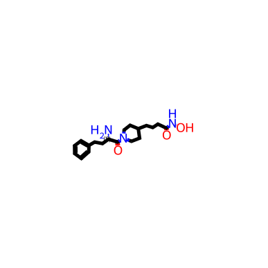 N[C@@H](CCc1ccccc1)C(=O)N1CCC(CCCC(=O)NO)CC1